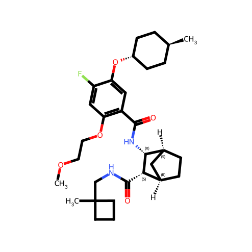 COCCOc1cc(F)c(O[C@H]2CC[C@H](C)CC2)cc1C(=O)N[C@@H]1[C@H]2CC[C@H](C2)[C@@H]1C(=O)NCC1(C)CCC1